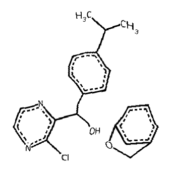 CC(C)c1ccc(C(O)c2nccnc2Cl)cc1.c1cc2cc(c1)OC2